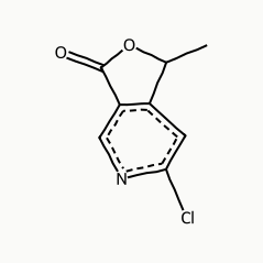 CC1OC(=O)c2cnc(Cl)cc21